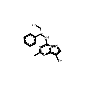 Cc1nc(N[C@@H](CC(C)C)c2ccccc2)n2ncc(C(C)C)c2n1